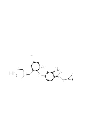 Fc1cnc(Oc2ccc3c(nnn3CC3CC3)c2Br)c(CN2CCNCC2)c1